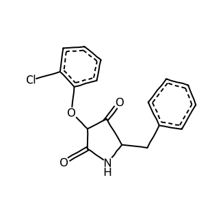 O=C1NC(Cc2ccccc2)C(=O)C1Oc1ccccc1Cl